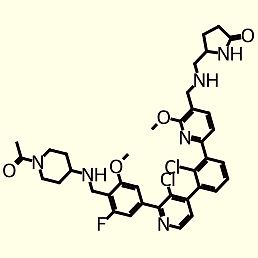 COc1cc(-c2nccc(-c3cccc(-c4ccc(CNCC5CCC(=O)N5)c(OC)n4)c3Cl)c2Cl)cc(F)c1CNC1CCN(C(C)=O)CC1